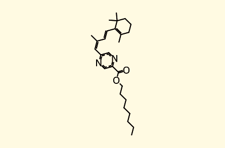 CCCCCCCCOC(=O)c1cnc(C=C(C)C=CC2=C(C)CCCC2(C)C)cn1